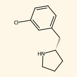 Clc1cccc(C[C@@H]2CCCN2)c1